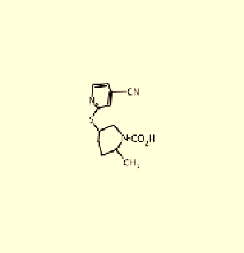 CC1CCC(Sc2cc(C#N)ccn2)CN1C(=O)O